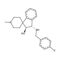 CN1CCC2(CC1)c1ccccc1[C@H](NCc1ccc(F)cc1)[C@H]2O